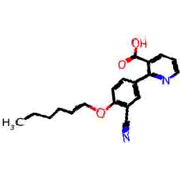 CCCCCCOc1ccc(-c2ncccc2C(=O)O)cc1C#N